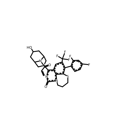 C=CC(=O)N1C2CC(O)CC1CN(c1nc(=O)n3c4c(c(-c5ccc(F)cc5F)c(C(F)(F)F)cc14)SCCC3)C2